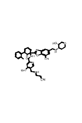 COc1cc(C(=O)NC2(c3nc4cc(CN[C@@H]5CCOC[C@H]5O)cc(C#N)c4o3)C=CC=C(c3ccccc3C)C2Cl)ncc1CNCCC#N